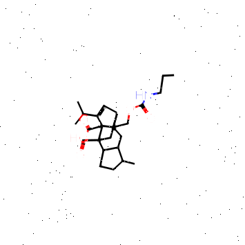 CCCNC(=O)OCC12CC3C(C)CCC3C3(C=O)CC1C=C(C(C)C)C32C(=O)O